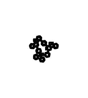 CC1=C(C2=CC=CCC2)CC(C2=CCCC=C2)N=C1c1ccc(-c2cccc3oc4c5ccccc5c(C5=CC=C(P(=O)(c6ccccc6)c6ccccc6)CC5)cc4c23)cc1